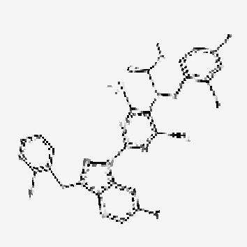 COC(=O)N(Cc1ccc(F)cc1F)c1c(N)nc(-n2nc(Cc3ccccc3F)c3ncc(F)cc32)nc1N